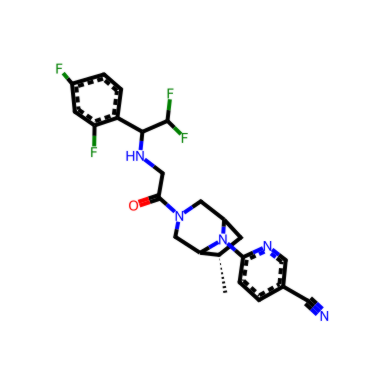 C[C@H]1CC2CN(C(=O)CNC(c3ccc(F)cc3F)C(F)F)CC1N2c1ccc(C#N)cn1